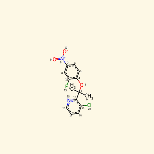 CC(C)(Oc1ccc([N+](=O)[O-])cc1F)c1ncccc1Cl